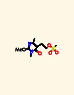 COc1nc(C)c(CCOS(C)(=O)=O)c(=O)n1C